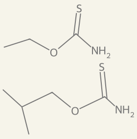 CC(C)COC(N)=S.CCOC(N)=S